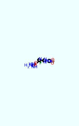 CS(=O)(=O)N1CCN(c2ncc(-c3nccc(COC(=O)NC(=N)N)c3F)cn2)CC1